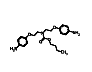 CCCCOC(=O)N(CCOc1ccc(N)cc1)CCOc1ccc(N)cc1